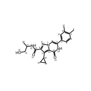 Cc1ccc(-c2cn3nc(C(=O)NC(C)CO)c(C4CC4)c3c(=O)[nH]2)cc1C